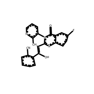 Cc1ncccc1-n1c(C=C(O)c2ccccc2C#N)nc2ccc(F)cc2c1=O